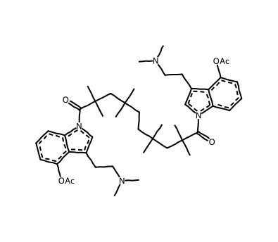 CC(=O)Oc1cccc2c1c(CCN(C)C)cn2C(=O)C(C)(C)CC(C)(C)CCC(C)(C)CC(C)(C)C(=O)n1cc(CCN(C)C)c2c(OC(C)=O)cccc21